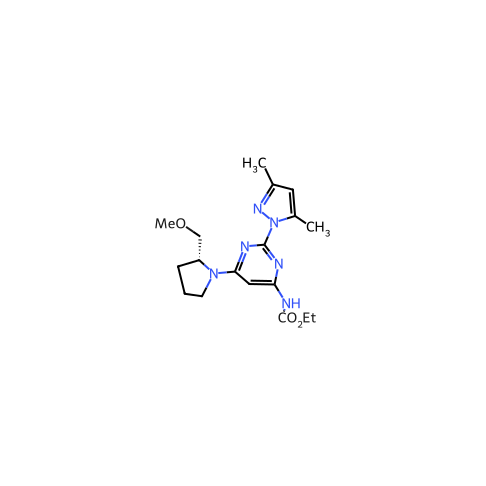 CCOC(=O)Nc1cc(N2CCC[C@@H]2COC)nc(-n2nc(C)cc2C)n1